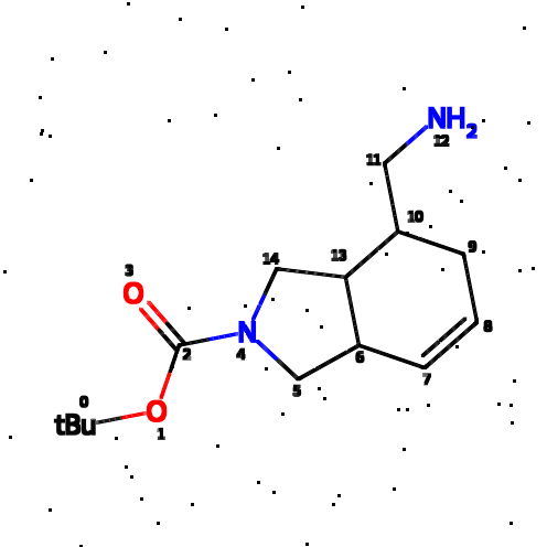 CC(C)(C)OC(=O)N1CC2C=CCC(CN)C2C1